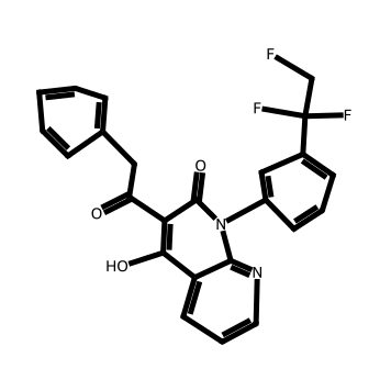 O=C(Cc1ccccc1)c1c(O)c2cccnc2n(-c2cccc(C(F)(F)CF)c2)c1=O